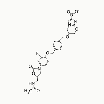 CC(=O)NCC1CN(c2ccc(OCc3ccc(COC4COc5nc([N+](=O)[O-])cn5C4)cc3)c(F)c2)C(=O)O1